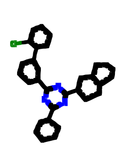 Clc1ccccc1-c1cccc(-c2nc(-c3ccccc3)nc(-c3ccc4ccccc4c3)n2)c1